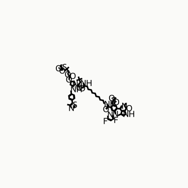 Cc1ncsc1-c1ccc(CN[C@@H]2C[C@@H](OC(=O)OCC(C)(C)SS(C)(=O)=O)CN2C(=O)[C@@H](NC(=O)CCCCCCCCCCNC(=O)c2cc3c(cc2CS(C)(=O)=O)-c2cn(C)c(=O)c4[nH]cc(c24)CN3c2ncc(F)cc2F)C(C)(C)C)cc1